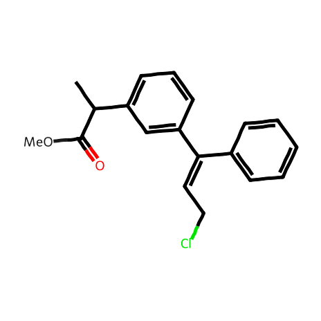 COC(=O)C(C)c1cccc(C(=CCCl)c2ccccc2)c1